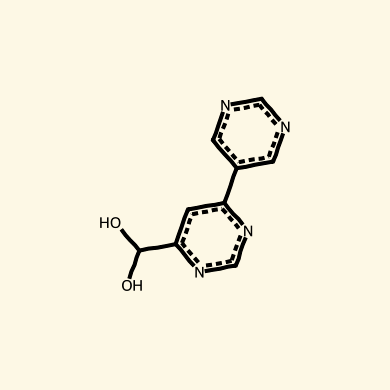 OC(O)c1cc(-c2cncnc2)ncn1